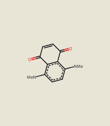 CNc1ccc(NC)c2c1C(=O)C=CC2=O